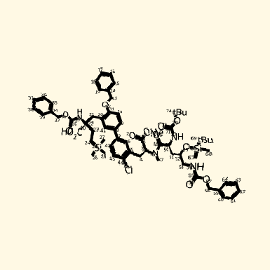 COC(=O)[C@H](Cc1cc(-c2ccc(OCc3ccccc3)c(C[C@@](CC[Si](C)(C)C)(NC(=O)OCc3ccccc3)C(=O)O)c2)ccc1Cl)N(C)C(=O)[C@H](C[C@H](CNC(=O)OCc1ccccc1)O[Si](C)(C)C(C)(C)C)NC(=O)OC(C)(C)C